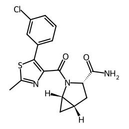 Cc1nc(C(=O)N2[C@H](C(N)=O)C[C@@H]3C[C@@H]32)c(-c2cccc(Cl)c2)s1